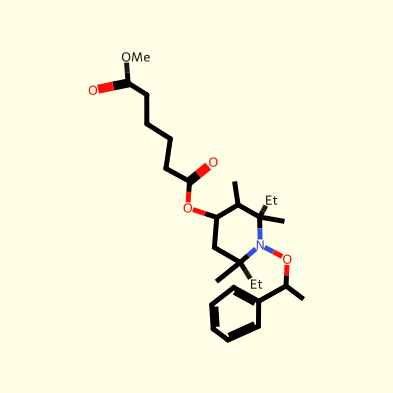 CCC1(C)CC(OC(=O)CCCCC(=O)OC)C(C)C(C)(CC)N1OC(C)c1ccccc1